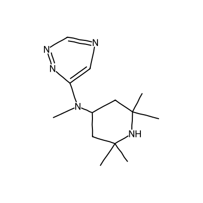 CN(c1cncnn1)C1CC(C)(C)NC(C)(C)C1